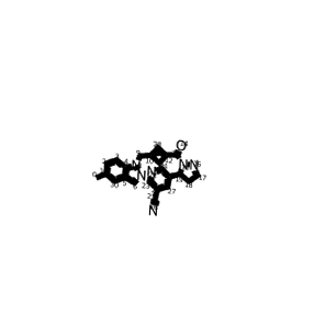 Cc1ccc2c(cnn2CC23CC(C(=O)N4N=CCC4c4cncc(C#N)c4)(C2)C3)c1